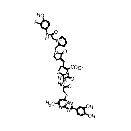 Cc1cc(SCC(=O)N[C@@H]2C(=O)N3C(C(=O)[O-])=C(C=C4CCN(Cc5cccc[n+]5CC(=O)Nc5ccc(O)c(F)c5)C4=O)CS[C@H]23)n2nc(-c3ccc(O)c(O)c3)nc2n1